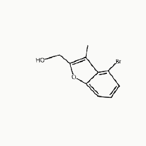 Cc1c(CO)oc2cccc(Br)c12